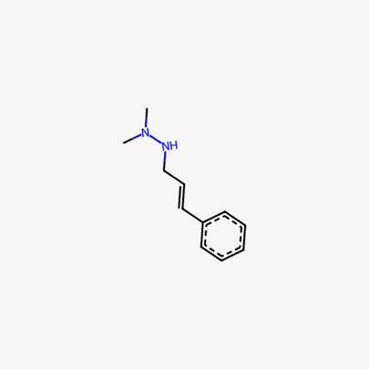 CN(C)NCC=Cc1ccccc1